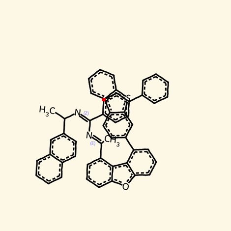 C/C(=N\C(=N/C(C)c1ccc2ccccc2c1)c1ccc(-c2ccccc2)cc1)c1cccc2oc3cccc(-c4ccc5c(c4)sc4ccccc45)c3c12